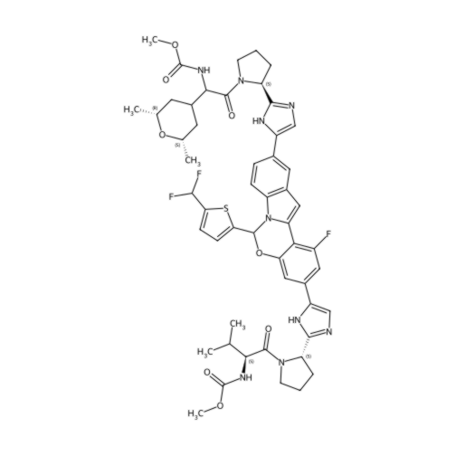 COC(=O)NC(C(=O)N1CCC[C@H]1c1ncc(-c2ccc3c(c2)cc2n3C(c3ccc(C(F)F)s3)Oc3cc(-c4cnc([C@@H]5CCCN5C(=O)[C@@H](NC(=O)OC)C(C)C)[nH]4)cc(F)c3-2)[nH]1)C1C[C@@H](C)O[C@@H](C)C1